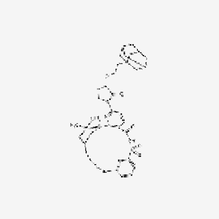 CC1(C)CC2CCCNc3cccc(n3)S(=O)(=O)NC(=O)c3ccc(N4CC[C@H](OCCC56CC7CC(CC(C7)C5)C6)C4=O)nc3N1C2